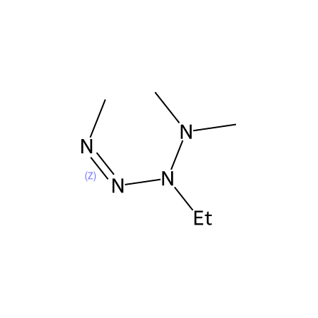 CCN(/N=N\C)N(C)C